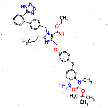 CCCc1nc(COc2ccc(Sc3ccc(N)c(N(C)C(=O)OC(C)(C)C)c3)cc2)c(C(=O)OCC)n1Cc1ccc(-c2ccccc2-c2nnn[nH]2)cc1